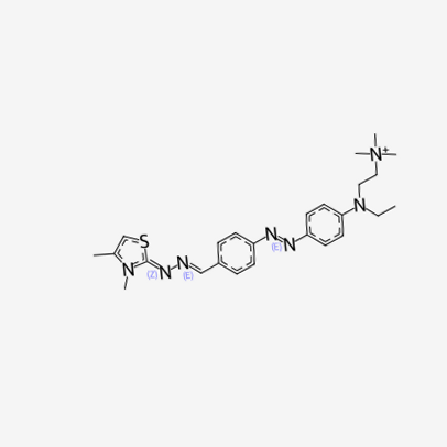 CCN(CC[N+](C)(C)C)c1ccc(/N=N/c2ccc(/C=N/N=c3\scc(C)n3C)cc2)cc1